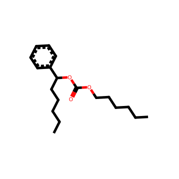 CCCCCCOC(=O)OC(CCCCC)c1ccccc1